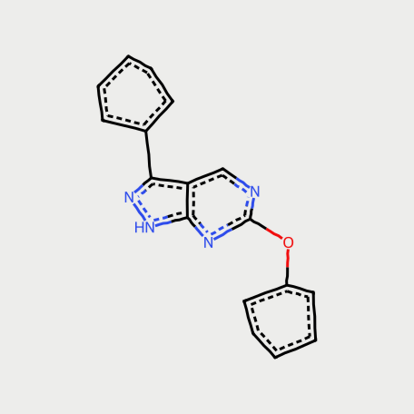 c1ccc(Oc2ncc3c(-c4ccccc4)n[nH]c3n2)cc1